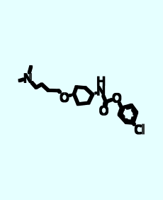 CN(C)CCCCO[C@H]1CC[C@H](NC(=O)Oc2ccc(Cl)cc2)CC1